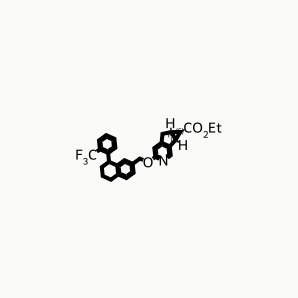 CCOC(=O)[C@H]1[C@@H]2Cc3cc(OCc4ccc5c(c4)C(c4ccccc4C(F)(F)F)CCC5)ncc3[C@@H]21